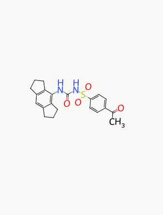 CC(=O)c1ccc(S(=O)(=O)NC(=O)Nc2c3c(cc4c2CCC4)CCC3)cc1